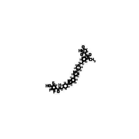 Cn1c(=O)n(C2CCC(=O)NC2=O)c2ccc(CCN3CCN(c4ncc(-c5ccc6cn([C@H]7CC[C@H](CNC(=O)c8cc(F)c(O)c(F)c8F)CC7)nc6c5)cn4)CC3)cc21